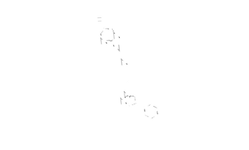 Fc1cnc(N2CCN(CCCCn3cc(-c4ccccc4)cn3)CC2)nc1